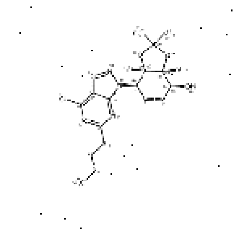 CCCSc1nc(Cl)c2nnn([C@@H]3C=C[C@H](O)[C@H]4OC(C)(C)O[C@H]43)c2n1